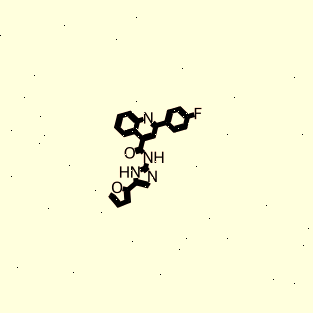 O=C(Nc1ncc(-c2ccco2)[nH]1)c1cc(-c2ccc(F)cc2)nc2ccccc12